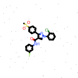 CS(=O)(=O)c1ccc(-c2nn(-c3ccccc3Cl)cc2C(=O)Nc2cccc(F)c2)cc1